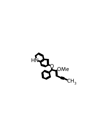 CC#C/C=C(\OC)C(Oc1ccc2c(c1)C=CCN2)c1ccccc1